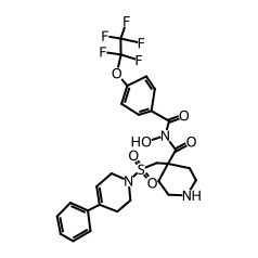 O=C(c1ccc(OC(F)(F)C(F)(F)F)cc1)N(O)C(=O)C1(CS(=O)(=O)N2CC=C(c3ccccc3)CC2)CCNCC1